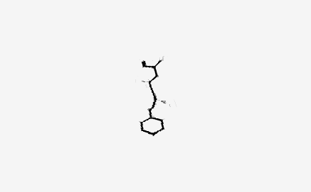 C=CC(C[C@H](O)[C@@H](N)CC1CCCCC1)C(C)C